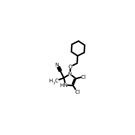 CC1(C#N)NC(Cl)=C(Cl)N1OCC1CCCCC1